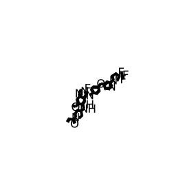 C=CC(=O)N1CCC(Nc2cc3c(Nc4ccc(Oc5ccnc(N6CC[C@H](C(F)(F)F)C6)c5)cc4F)ncnc3cc2OC)CC1